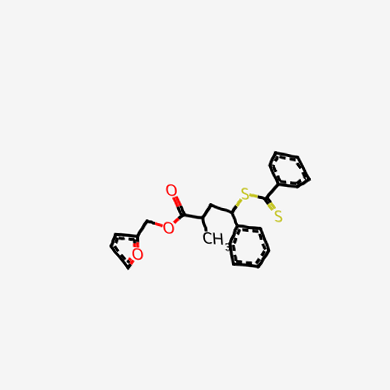 CC(CC(SC(=S)c1ccccc1)c1ccccc1)C(=O)OCc1ccco1